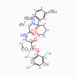 CC(C)[C@H](NC1(c2cc(C(C)(C)C)ccc2C(C)(C)C)CCCCO1)C(=O)N[C@@H](CC(=O)O)C(=O)COc1c(F)c(F)cc(F)c1F